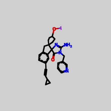 NC1=NC2(C(=O)N1Cc1cccnc1)c1cc(C#CC3CC3)ccc1CC21CCC(OI)CC1